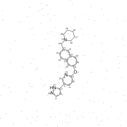 c1cc(-c2ccc(Oc3ccc4cc(CN5CCCCC5)ccc4c3)nc2)[nH]n1